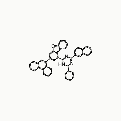 c1ccc(C2N=C(c3ccc4ccccc4c3)N=C(c3cc(-c4cc5ccccc5c5ccccc45)cc4oc5ccccc5c34)N2)cc1